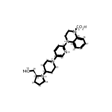 O=C(O)N1CCN(c2ccc(N3CCC(N4CCC[C@H]4CO)CC3)cn2)c2ccccc21